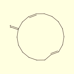 S=C1C/C=C\CCCCCC/C=C/CCCCCC1